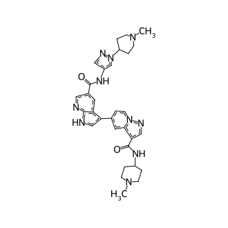 CN1CCC(NC(=O)c2cnn3ccc(-c4c[nH]c5ncc(C(=O)Nc6cnn(C7CCN(C)CC7)c6)cc45)cc23)CC1